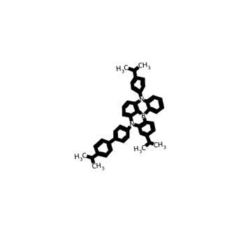 CC(C)c1ccc(-c2ccc(N3c4cc(C(C)C)ccc4B4c5ccccc5N(c5ccc(C(C)C)cc5)c5cccc3c54)cc2)cc1